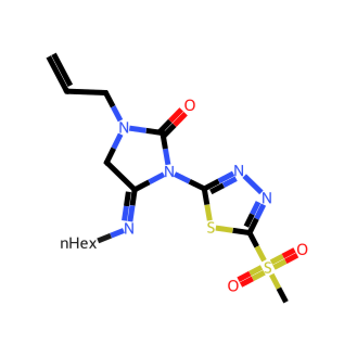 C=CCN1CC(=NCCCCCC)N(c2nnc(S(C)(=O)=O)s2)C1=O